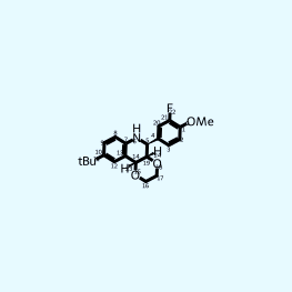 COc1ccc([C@@H]2Nc3ccc(C(C)(C)C)cc3[C@H]3OCCO[C@H]32)cc1F